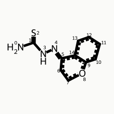 NC(=S)NN=c1ccoc2ccccc12